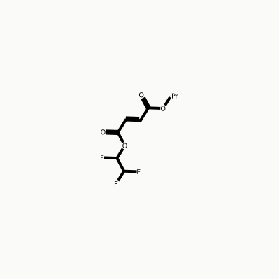 CC(C)OC(=O)C=CC(=O)OC(F)C(F)F